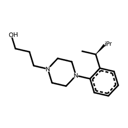 CC(C)[C@H](C)c1ccccc1N1CCN(CCCO)CC1